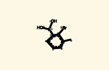 Cc1cccc(B(O)O)c1Br